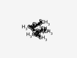 CCO[Si](CCCCC(C)OC(C)=S)(OCC)OCC.CCO[Si](CCCCCCOC(C)=S)(OCC)OCC